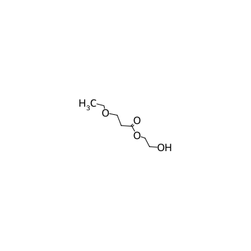 CCOCCC(=O)OCCO